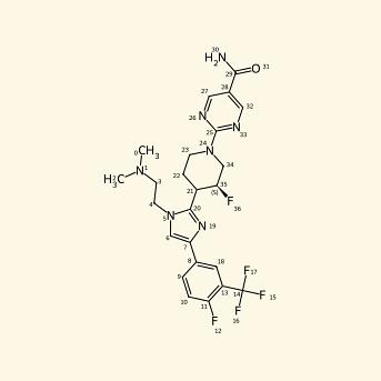 CN(C)CCn1cc(-c2ccc(F)c(C(F)(F)F)c2)nc1C1CCN(c2ncc(C(N)=O)cn2)C[C@H]1F